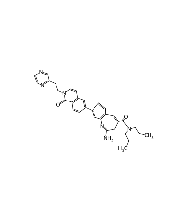 CCCN(CCC)C(=O)C1=Cc2ccc(-c3ccc4c(=O)n(CCc5cnccn5)ccc4c3)cc2N=C(N)C1